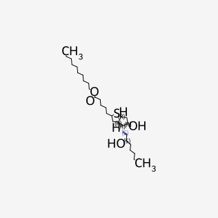 CCCCCCCCCCOC(=O)CCCCC1C[C@@H]2[C@@H](/C=C/[C@@H](O)CCCCC)[C@H](O)C[C@H]2S1